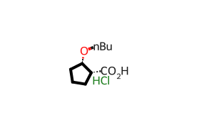 CCCCO[C@H]1CCC[C@H]1C(=O)O.Cl